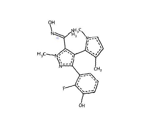 Cc1ccn(C)c1-c1c(-c2cccc(O)c2F)nn(C)c1/C(N)=N/O